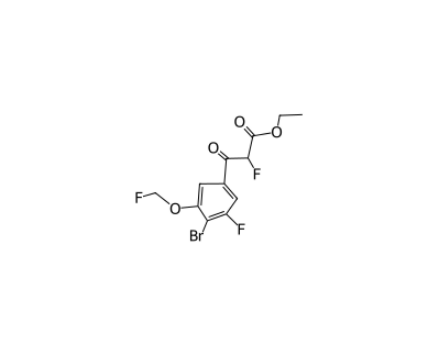 CCOC(=O)C(F)C(=O)c1cc(F)c(Br)c(OCF)c1